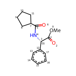 COC(=O)[C@@H](NC(=O)C1CCCC1)c1ccccc1